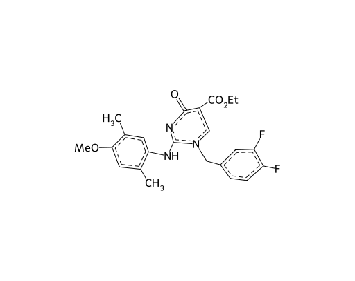 CCOC(=O)c1cn(Cc2ccc(F)c(F)c2)c(Nc2cc(C)c(OC)cc2C)nc1=O